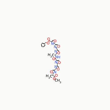 COC(=O)C(C)c1nc(-c2nc(-c3nc(C(=O)NC(C)c4nc(-c5nc(-c6nc(C(=O)OCc7ccccc7)co6)co5)co4)co3)co2)co1